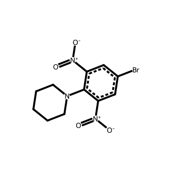 O=[N+]([O-])c1cc(Br)cc([N+](=O)[O-])c1N1CCCCC1